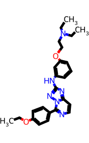 CCOc1ccc(-c2nccc3nc(Nc4cccc(OCCN(CC)CC)c4)nn23)cc1